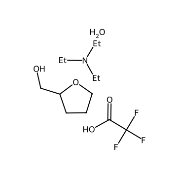 CCN(CC)CC.O.O=C(O)C(F)(F)F.OCC1CCCO1